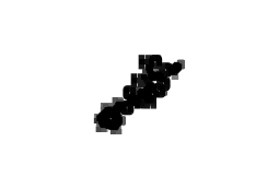 CCOC(=O)[C@H](CO)NC(=O)C(C)(C)NC(=O)OCc1ccccc1